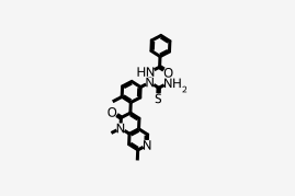 Cc1cc2c(cn1)cc(-c1cc(N(NC(=O)c3ccccc3)C(N)=S)ccc1C)c(=O)n2C